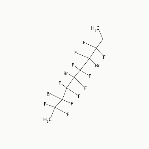 CCC(F)(F)C(F)(Br)C(F)(F)C(F)(Br)C(F)(F)C(F)(Br)C(C)(F)F